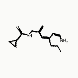 C=C(/C=C(\C=C/N)CCC)CNC(=O)C1CC1